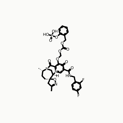 CC1=NO[C@@]2(CC[C@H](C)N3C[C@H]2n2cc(C(=O)NCc4ccc(F)cc4F)c(=O)c(OCOC(=O)OCc4ccccc4OP(=O)(O)O)c2C3=O)C1